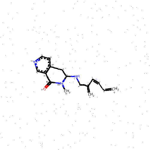 C=C/C=C\C(=C)CNC1Cc2ccncc2C(=O)N1C